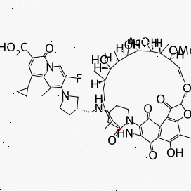 CO[C@H]1/C=C/O[C@@]2(C)Oc3c(C)c(O)c4c(c3C2=O)C(=O)C(N2CCC(NC[C@@H]3CCN(c5c(F)cn6c(=O)c(C(=O)O)cc(C7CC7)c6c5C)C3)CC2)=C(NC(=O)/C(C)=C\C=C\[C@H](C)[C@H](O)[C@@H](C)[C@@H](O)[C@@H](C)[C@H](OC(C)=O)[C@@H]1C)C4=O